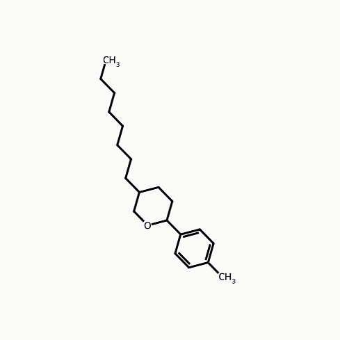 CCCCCCCCC1CCC(c2ccc(C)cc2)OC1